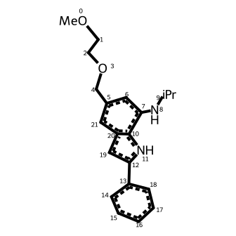 COCCOCc1cc(NC(C)C)c2[nH]c(-c3ccccc3)cc2c1